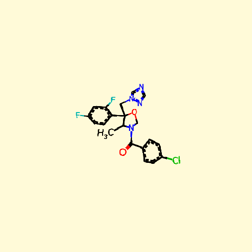 CC1N(C(=O)c2ccc(Cl)cc2)COC1(Cn1cncn1)c1ccc(F)cc1F